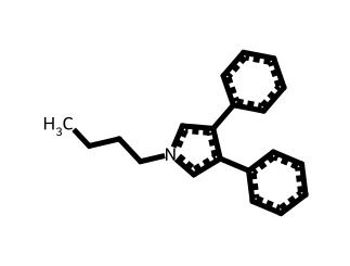 CCCCn1cc(-c2ccccc2)c(-c2ccccc2)c1